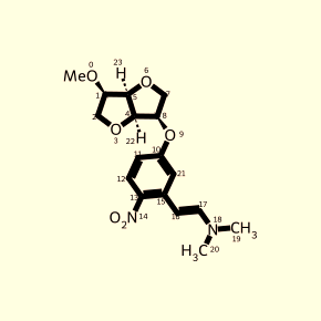 CO[C@@H]1CO[C@H]2[C@@H]1OC[C@H]2Oc1ccc([N+](=O)[O-])c(/C=C/N(C)C)c1